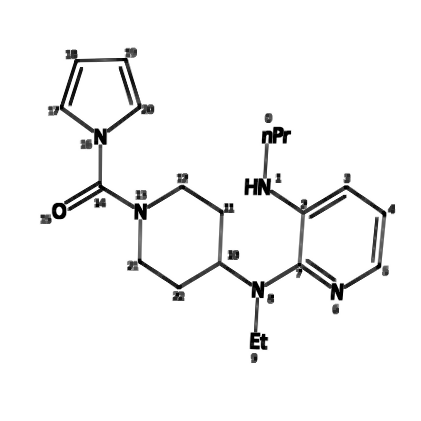 CCCNc1cccnc1N(CC)C1CCN(C(=O)n2cccc2)CC1